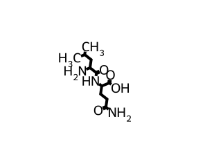 CC(C)CC(N)C(=O)NC(CCC(N)=O)C(=O)O